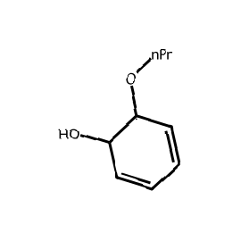 CCCO[C]1C=CC=CC1O